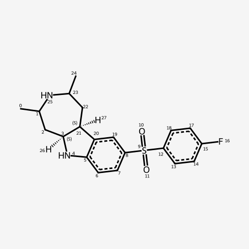 CC1C[C@@H]2Nc3ccc(S(=O)(=O)c4ccc(F)cc4)cc3[C@@H]2CC(C)N1